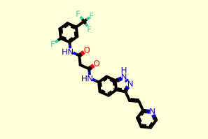 O=C(CC(=O)Nc1cc(C(F)(F)F)ccc1F)Nc1ccc2c(C=Cc3ccccn3)n[nH]c2c1